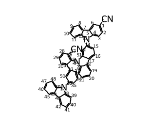 N#Cc1ccc2c(c1)c1ccccc1n2-c1ccc2c3ccccc3n(-c3c(C#N)cccc3-c3cccc(-n4c5ccccc5c5ccccc54)c3)c2c1